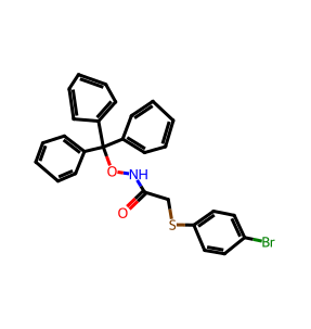 O=C(CSc1ccc(Br)cc1)NOC(c1ccccc1)(c1ccccc1)c1ccccc1